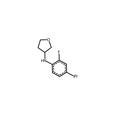 CC(C)c1ccc(NC2CCOC2)c(F)c1